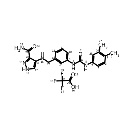 Cc1ccc(NC(=O)Nc2cccc(CNc3c[nH]nc3C(N)=O)c2)cc1C.O=C(O)C(F)(F)F